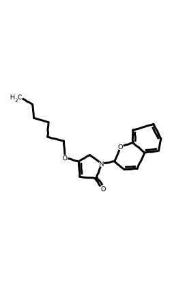 CCCCCCOC1=CC(=O)N(C2C=Cc3ccccc3O2)C1